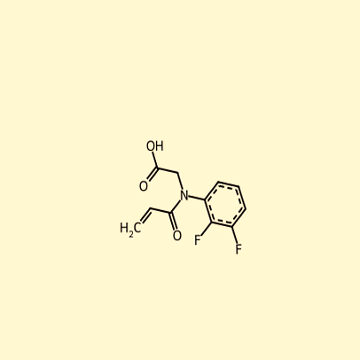 C=CC(=O)N(CC(=O)O)c1cccc(F)c1F